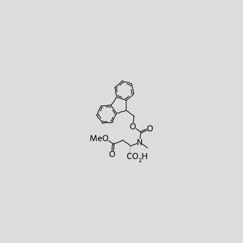 COC(=O)C[C@@H](C(=O)O)N(C)C(=O)OCC1c2ccccc2-c2ccccc21